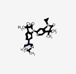 C=C(C)/N=C\C(=C/C)c1ccc2c(c1)N(c1cc3c(cn1)C(C)(C)C(=O)N3C1CC1)C(=O)C2(C)C